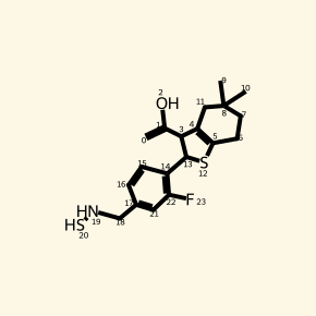 C=C(O)C1C2=C(CCC(C)(C)C2)SC1c1ccc(CNS)cc1F